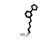 O=S(=O)(O)C=CCCCc1cccc(C2CCCC2)c1